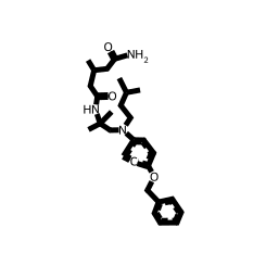 CC(C)CCN(CC(C)(C)NC(=O)CC(C)CC(N)=O)c1ccc(OCc2ccccc2)cc1